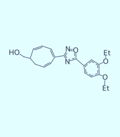 CCOc1ccc(-c2nc(C3=C/C=CC(CO)C/C=C\3)no2)cc1OCC